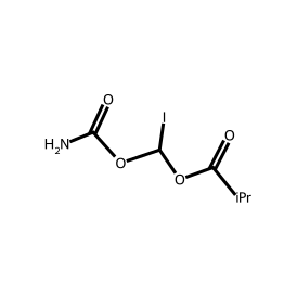 CC(C)C(=O)OC(I)OC(N)=O